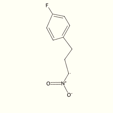 O=[N+]([O-])[CH]CCc1ccc(F)cc1